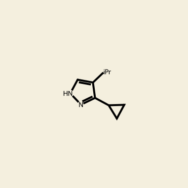 CC(C)c1c[nH]nc1C1CC1